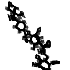 CSc1cc(C)[nH]c(=O)c1CNC(=O)c1cc(Cl)c2c(c1C)OC(C)(C1CCC(NC3(CF)COC3)CC1)O2